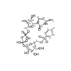 Cc1ccc(S(=O)(=O)OCC2O[C@H](OP(=O)(O)OP(=O)(O)OCC3OC(N4C=CC(N)NC4=O)[C@H](O)[C@@H]3O)C(O)[C@@H](O)[C@H]2O)cc1